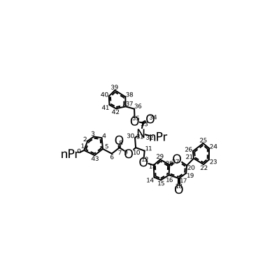 CCCc1cccc(CC(=O)OC(COc2ccc3c(=O)cc(-c4ccccc4)oc3c2)CN(CCC)C(=O)OCc2ccccc2)c1